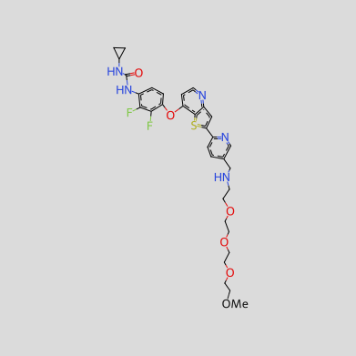 COCCOCCOCCOCCNCc1ccc(-c2cc3nccc(Oc4ccc(NC(=O)NC5CC5)c(F)c4F)c3s2)nc1